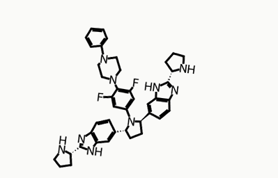 Fc1cc(N2[C@@H](c3ccc4nc([C@@H]5CCCN5)[nH]c4c3)CC[C@@H]2c2ccc3nc([C@@H]4CCCN4)[nH]c3c2)cc(F)c1N1CCN(c2ccccc2)CC1